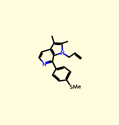 C=CCn1c(C)c(C)c2ccnc(-c3ccc(SC)cc3)c21